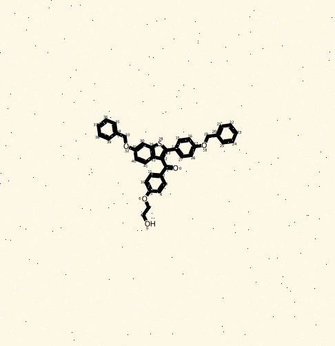 O=C(c1ccc(OCCO)cc1)c1c(-c2ccc(OCc3ccccc3)cc2)sc2cc(OCc3ccccc3)ccc12